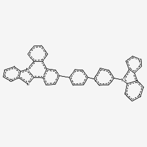 c1ccc2c(c1)nc1c3ccc(-c4ccc(-c5ccc(-n6c7ccccc7c7ccccc76)cc5)cc4)cc3c3ccccc3n21